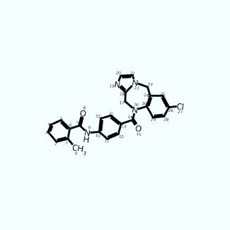 Cc1ccccc1C(=O)Nc1ccc(C(=O)N2Cc3nccn3Cc3cc(Cl)ccc32)cc1